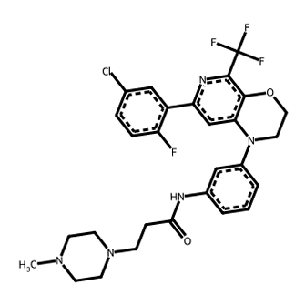 CN1CCN(CCC(=O)Nc2cccc(N3CCOc4c3cc(-c3cc(Cl)ccc3F)nc4C(F)(F)F)c2)CC1